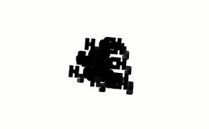 Cc1cc2c3c(c1)N(c1ccc(C(C)(C)C)cc1-c1ccccc1)c1ccc(-c4ccc5ccsc5c4)cc1B3c1cc(C(C)(C)C)ccc1N2c1ccc(C(C)(C)C)cc1